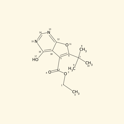 CCOC(=O)c1c(C(C)(C)C)oc2ncnc(O)c12